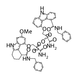 COc1cc(OCS(=O)(=O)C(N)=O)c2c3c([nH]c2c1)CCCC3C(=O)NCc1ccccc1.NC(=O)S(=O)(=O)COc1cccc2[nH]c3cccc(C(=O)NCc4ccccc4)c3c12